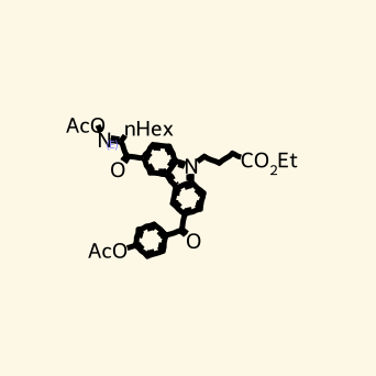 CCCCCC/C(=N\OC(C)=O)C(=O)c1ccc2c(c1)c1cc(C(=O)c3ccc(OC(C)=O)cc3)ccc1n2CCCC(=O)OCC